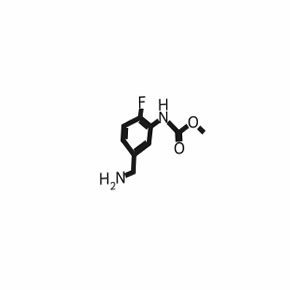 COC(=O)Nc1cc(CN)ccc1F